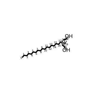 CCCCCCCCCCCCCCCCCC[N+](C)(CCO)CCO